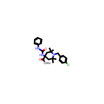 COC(=O)C1(NC(=O)Nc2ccccc2)CC(C)(C)N(Cc2ccc(Cl)cc2)C(C)(C)C1